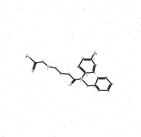 CC(C)C(=O)COCCCC(=O)N(Cc1ccccc1)c1ccc(C(C)C)cc1